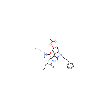 CCCCCC(NC(C)=O)(C(=O)N(C)CCCC)c1c(C)n(CCCc2ccccc2)c2ccc(OC(C)=O)cc12